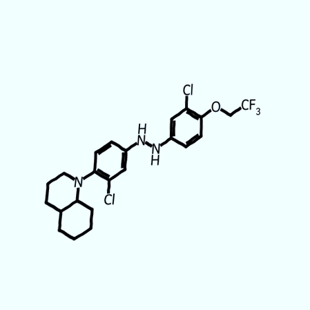 FC(F)(F)COc1ccc(NNc2ccc(N3CCCC4CCCCC43)c(Cl)c2)cc1Cl